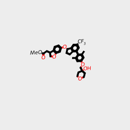 COC(=O)CC1COc2cc(O[C@@H]3CCc4c(-c5c(C)cc(OCC6(O)CCOCC6)cc5C)cc(C(F)(F)F)cc43)ccc21